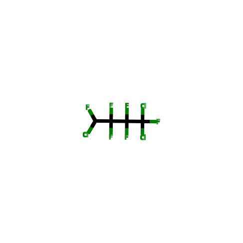 FC(Cl)C(F)(F)C(F)(F)C(F)(Cl)Cl